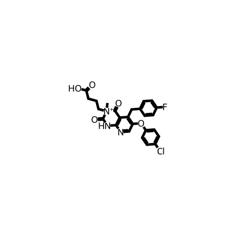 C[N+]1(CCCC(=O)O)C(=O)Nc2ncc(Oc3ccc(Cl)cc3)c(Cc3ccc(F)cc3)c2C1=O